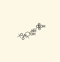 CC(C)(C)OC(=O)N1CCC(O)(CNCCOS(=O)(=O)O)CC1(C)C